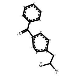 CC(=O)C(Cc1ccc(C(=O)c2ccccc2)cc1)C(C)=O